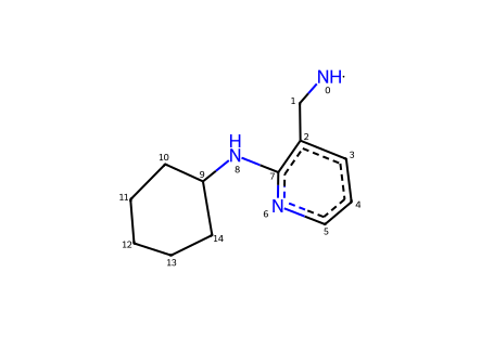 [NH]Cc1cccnc1NC1CCCCC1